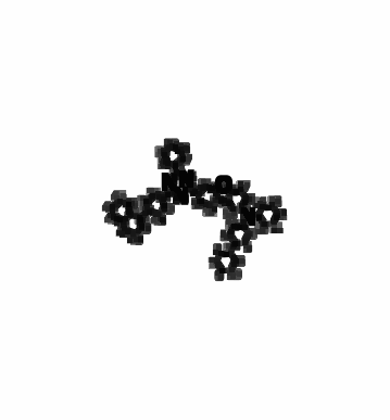 c1ccc(-c2ccc(N(c3ccccc3)c3ccc4oc5cc(-c6nc(-c7ccccc7)nc(-c7ccc(-c8cccc9ccccc89)cc7)n6)ccc5c4c3)cc2)cc1